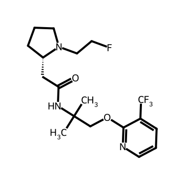 CC(C)(COc1ncccc1C(F)(F)F)NC(=O)C[C@@H]1CCCN1CCF